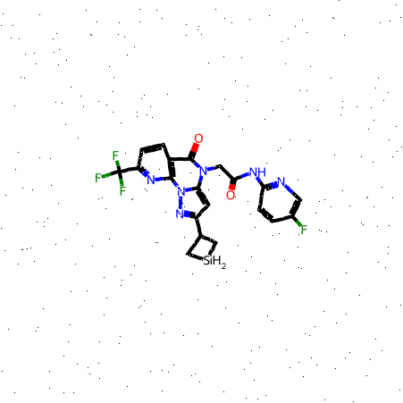 O=C(Cn1c(=O)c2ccc(C(F)(F)F)nc2n2nc(C3C[SiH2]C3)cc12)Nc1ccc(F)cn1